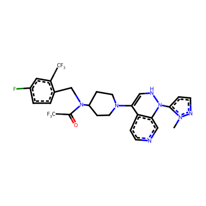 Cn1nccc1N1NC=C(N2CCC(N(Cc3ccc(F)cc3C(F)(F)F)C(=O)C(F)(F)F)CC2)c2ccncc21